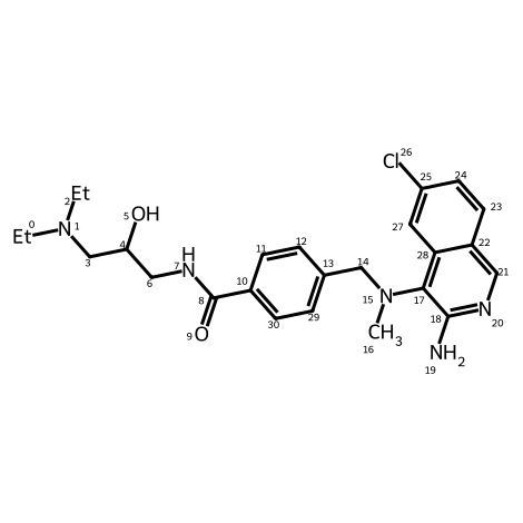 CCN(CC)CC(O)CNC(=O)c1ccc(CN(C)c2c(N)ncc3ccc(Cl)cc23)cc1